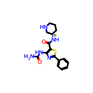 NC(=O)Nc1nc(-c2ccccc2)sc1C(=O)N[C@H]1CCCNC1